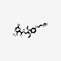 CCn1c(CNC(=O)c2nc(Br)cnc2N)[n+](CC)c2ccc(OCCNC=O)cc21